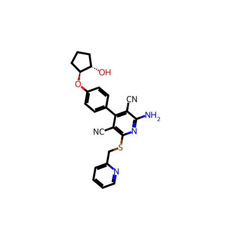 N#Cc1c(N)nc(SCc2ccccn2)c(C#N)c1-c1ccc(O[C@H]2CCC[C@@H]2O)cc1